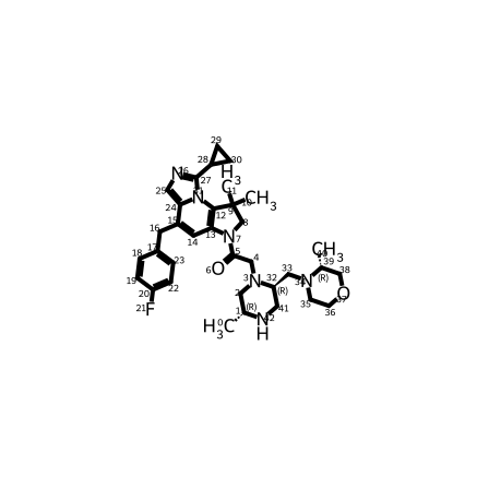 C[C@@H]1CN(CC(=O)N2CC(C)(C)c3c2cc(Cc2ccc(F)cc2)c2cnc(C4CC4)n32)[C@@H](CN2CCOC[C@H]2C)CN1